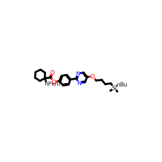 CCCCCC1(C(=O)Oc2ccc(-c3ncc(OCCCC[Si](C)(C)CCCC)cn3)cc2)CCCCC1